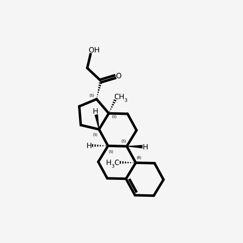 C[C@]12CC[C@H]3[C@@H](CCC4=CCCC[C@@]43C)[C@@H]1CC[C@@H]2C(=O)CO